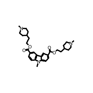 CN1CCC(CCOC(=O)c2ccc3c(c2)c2cc(C(=O)OCCC4CCN(C)CC4)ccc2n3C)CC1